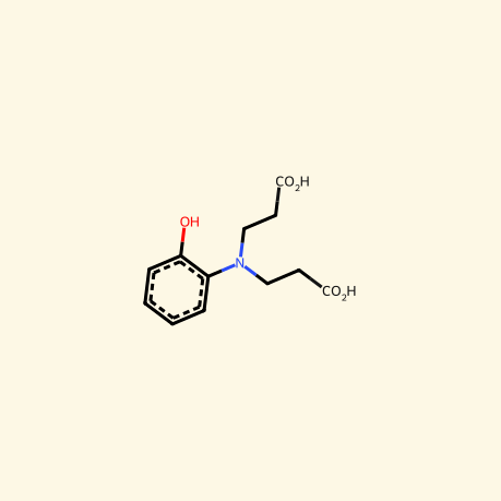 O=C(O)CCN(CCC(=O)O)c1ccccc1O